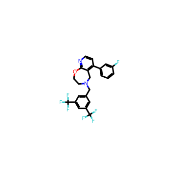 Fc1cccc(-c2ccnc3c2CN(Cc2cc(C(F)(F)F)cc(C(F)(F)F)c2)CCO3)c1